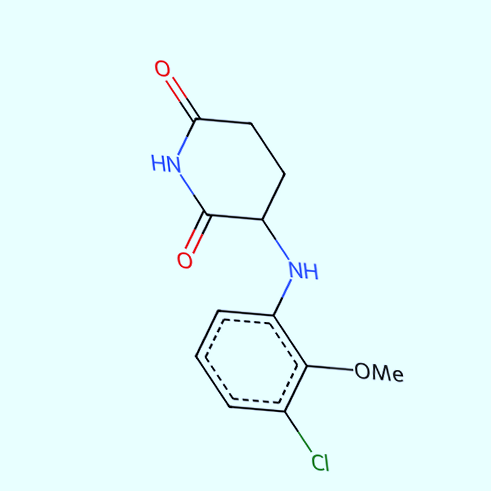 COc1c(Cl)cccc1NC1CCC(=O)NC1=O